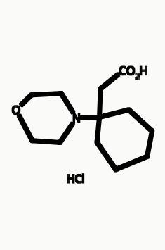 Cl.O=C(O)CC1(N2CCOCC2)CCCCC1